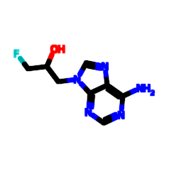 Nc1ncnc2c1ncn2CC(O)CF